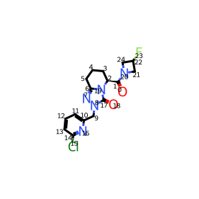 O=C([C@@H]1CCCc2nn(Cc3cccc(Cl)n3)c(=O)n21)N1CC(F)C1